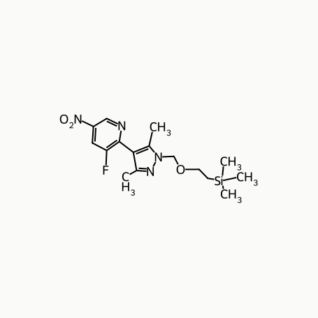 Cc1nn(COCC[Si](C)(C)C)c(C)c1-c1ncc([N+](=O)[O-])cc1F